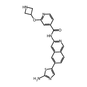 Nc1ncc(-c2ccc3cnc(NC(=O)c4ccnc(OC5CNC5)c4)cc3c2)s1